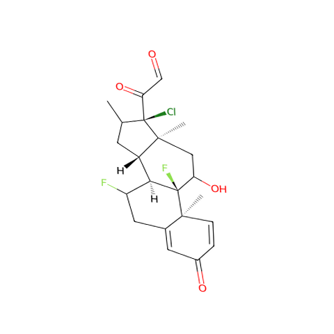 CC1C[C@H]2[C@@H]3C(F)CC4=CC(=O)C=C[C@]4(C)[C@@]3(F)C(O)C[C@]2(C)[C@@]1(Cl)C(=O)C=O